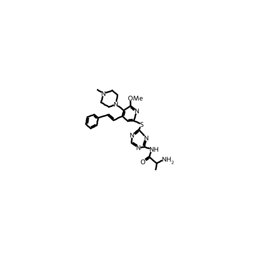 COc1nc(Sc2ncnc(NC(=O)C(C)N)n2)cc(/C=C/c2ccccc2)c1N1CCN(C)CC1